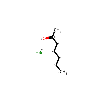 Br.CCCCCC(C)=O